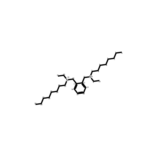 CCCCCCCCN(CC)Cc1ccccc1CN(CC)CCCCCCCC